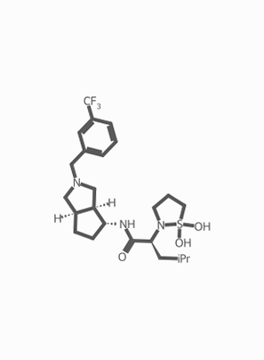 CC(C)C[C@@H](C(=O)N[C@@H]1CC[C@H]2CN(Cc3cccc(C(F)(F)F)c3)C[C@H]21)N1CCCS1(O)O